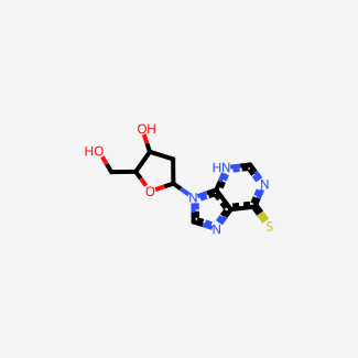 OCC1OC(n2cnc3c(=S)nc[nH]c32)CC1O